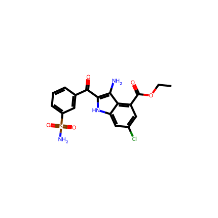 CCOC(=O)c1cc(Cl)cc2[nH]c(C(=O)c3cccc(S(N)(=O)=O)c3)c(N)c12